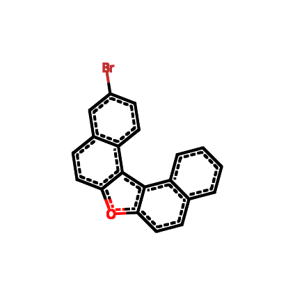 Brc1ccc2c(ccc3oc4ccc5ccccc5c4c32)c1